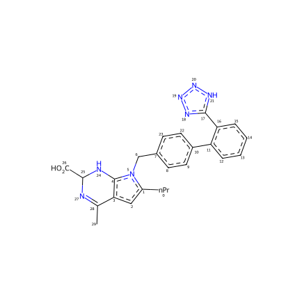 CCCc1cc2c(n1Cc1ccc(-c3ccccc3-c3nnn[nH]3)cc1)NC(C(=O)O)N=C2C